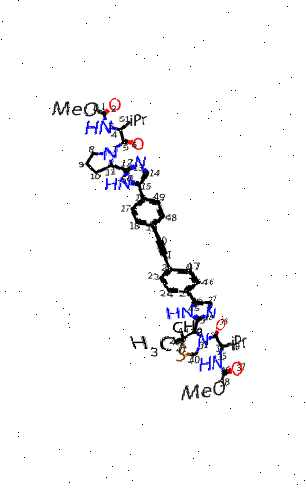 COC(=O)NC(C(=O)N1CCCC1c1ncc(-c2ccc(C#Cc3ccc(-c4cnc(C5N(C(=O)C(NC(=O)OC)C(C)C)CSC5(C)C)[nH]4)cc3)cc2)[nH]1)C(C)C